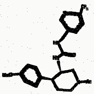 COc1ccc([C@@H]2CCN(C(C)=O)C[C@H]2NC(=O)Nc2ccc(C(F)(F)F)nc2)cc1